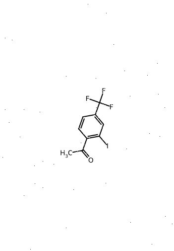 CC(=O)c1ccc(C(F)(F)F)cc1I